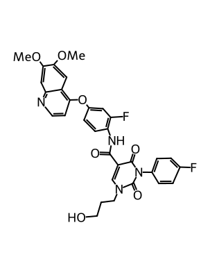 COc1cc2nccc(Oc3ccc(NC(=O)c4cn(CCCO)c(=O)n(-c5ccc(F)cc5)c4=O)c(F)c3)c2cc1OC